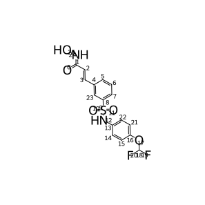 O=C(C=Cc1cccc(S(=O)(=O)Nc2ccc(OC(F)F)cc2)c1)NO